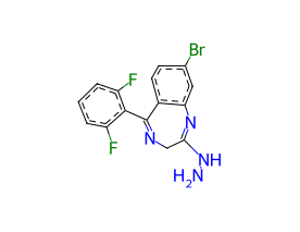 NNC1=Nc2cc(Br)ccc2C(c2c(F)cccc2F)=NC1